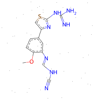 COc1ccc(-c2csc(NC(=N)N)n2)cc1/N=C/NC#N